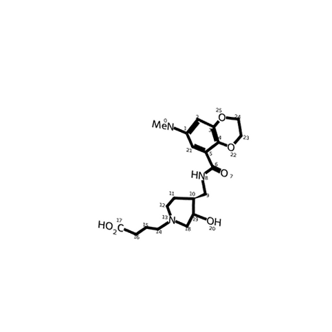 CNc1cc2c(c(C(=O)NC[C@@H]3CCN(CCCC(=O)O)CC3O)c1)OCCO2